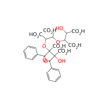 O=C(O)C(O)C(OC(C(=O)O)C(OC(C(=O)O)(C(=O)c1ccccc1)C(O)(C(=O)O)C(=O)c1ccccc1)C(=O)O)C(=O)O